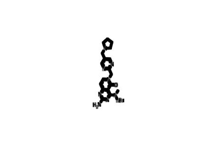 CCCCN(C)c1nc(N)nc2ccn(Cc3ncc(CN4CCCC4)cn3)c(=O)c12